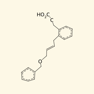 O=C(O)CCc1ccccc1C/C=C/COCc1ccccc1